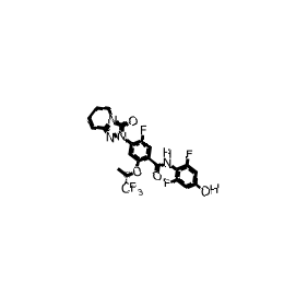 C[C@H](Oc1cc(-n2nc3n(c2=O)CCCC3)c(F)cc1C(=O)Nc1c(F)cc(O)cc1F)C(F)(F)F